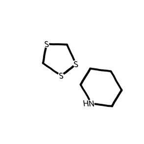 C1CCNCC1.C1SCSS1